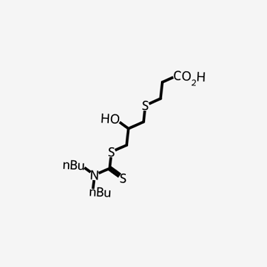 CCCCN(CCCC)C(=S)SCC(O)CSCCC(=O)O